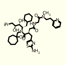 CC(C)C[C@H](O)[C@H](O)[C@H](CC1CCCCC1)N(CC1(O)CCCCCC1)C(=O)[C@@H](CC(=O)NCC(=O)N(C)CCc1ccccn1)Cc1csc(N)n1